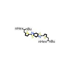 CCCCCCC(CCCC)Cc1ccc(-c2nc3cc4sc(-c5ccc(CC(CCCC)CCCCCC)s5)nc4cc3s2)s1